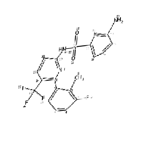 Cc1c(F)cccc1-c1nc(NS(=O)(=O)c2cccc(N)n2)ccc1C(F)(F)F